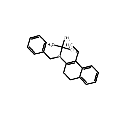 CCC1=C(N(Cc2ccccc2)C(C)(C)C)CCc2ccccc21